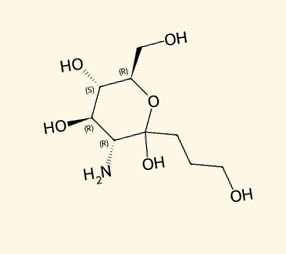 N[C@@H]1[C@@H](O)[C@H](O)[C@@H](CO)OC1(O)CCCO